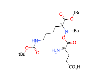 CC(C)(C)OC(=O)NCCCC[C@@H](C(=O)OC(C)(C)C)N(OC(=O)[C@@H](N)CCC(=O)O)C(C)(C)C